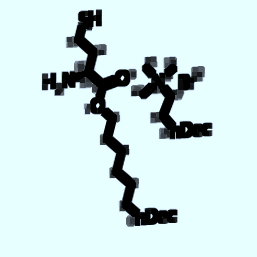 CCCCCCCCCCCCCCCCOC(=O)[C@@H](N)CCS.CCCCCCCCCCCC[N+](C)(C)C.[Br-]